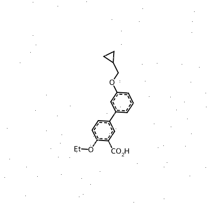 CCOc1ccc(-c2cccc(OCC3CC3)c2)cc1C(=O)O